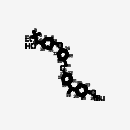 CCC(C)(C)C(O)c1ccc(Oc2ccc(COc3ccc(C(C)c4ccc(OC(C)(C)C)cc4)cc3)cc2)cc1